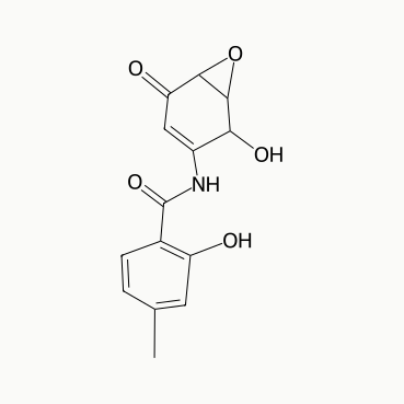 Cc1ccc(C(=O)NC2=CC(=O)C3OC3C2O)c(O)c1